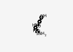 CC1(c2cc(NC(=O)c3ccc(N4CCNCC4)cc3)ccc2F)CCSC(N)=N1